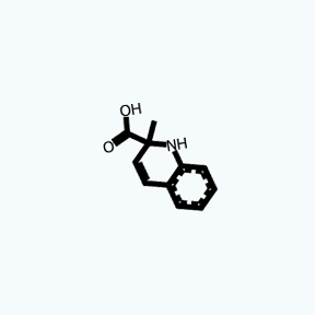 CC1(C(=O)O)C=Cc2ccccc2N1